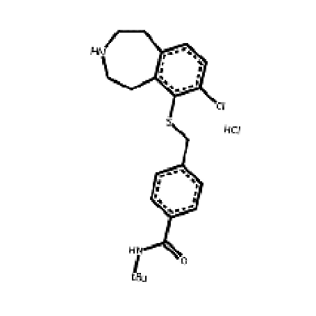 CC(C)(C)NC(=O)c1ccc(CSc2c(Cl)ccc3c2CCNCC3)cc1.Cl